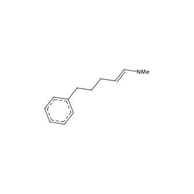 CNC=CCCCc1ccccc1